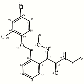 CCNC(=O)/C(=N/OC)c1ccccc1COc1ccc(Cl)cc1Cl